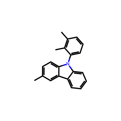 Cc1ccc2c(c1)c1ccccc1n2-c1cccc(C)c1C